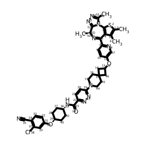 Cc1sc2c(c1C)C(c1ccc(OC3CC4(CCN(c5ccc(C(=O)N[C@H]6CC[C@H](Oc7ccc(C#N)c(Cl)c7)CC6)nn5)CC4)C3)cn1)=N[C@@H](C)c1nnc(C)n1-2